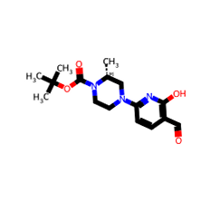 C[C@@H]1CN(c2ccc(C=O)c(O)n2)CCN1C(=O)OC(C)(C)C